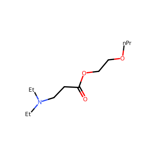 CCCOCCOC(=O)CCN(CC)CC